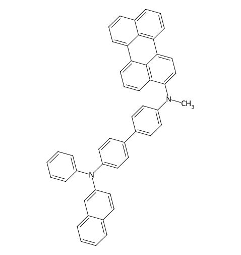 CN(c1ccc(-c2ccc(N(c3ccccc3)c3ccc4ccccc4c3)cc2)cc1)c1ccc2c3cccc4cccc(c5cccc1c52)c43